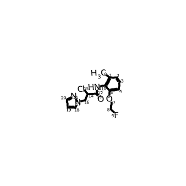 Cc1cccc(OCCF)c1NC(=O)C(Cl)Cn1cccn1